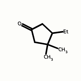 CCC1CC(=O)CC1(C)C